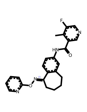 Cc1c(F)cncc1C(=O)Nc1ccc2c(c1)CCCC/C2=N\Oc1ccccn1